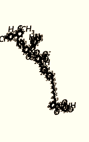 CC1(C)CCC(CN2CCN(c3ccc(C(=O)NS(=O)(=O)c4ccc(NCC5CCN(C6CCN(CCCCCCCCCc7cccc8c7CN(C7CCC(=O)NC7=O)C8=O)CC6)CC5)c([N+](=O)[O-])c4)c(Oc4cnc5[nH]ccc5c4)c3)CC2)=C(c2ccc(Cl)cc2)C1